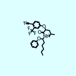 CCCCCC(NC(=O)C(CC(C)C)Oc1ccc(C#N)c(C(F)(F)F)c1)Oc1ccccc1